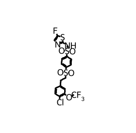 O=S(=O)(CCc1ccc(Cl)c(OC(F)(F)F)c1)c1ccc(S(=O)(=O)Nc2ncc(F)s2)cc1